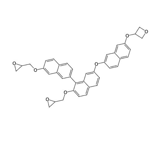 c1cc2ccc(-c3c(OCC4CO4)ccc4ccc(Oc5ccc6ccc(OC7COC7)cc6c5)cc34)cc2cc1OCC1CO1